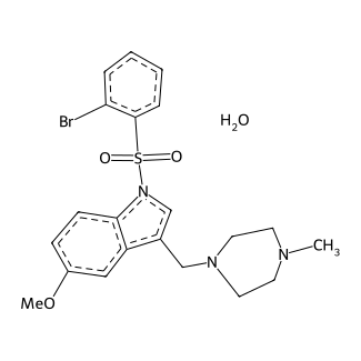 COc1ccc2c(c1)c(CN1CCN(C)CC1)cn2S(=O)(=O)c1ccccc1Br.O